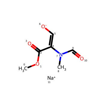 COC(=O)/C(=C\[O-])N(C)C=O.[Na+]